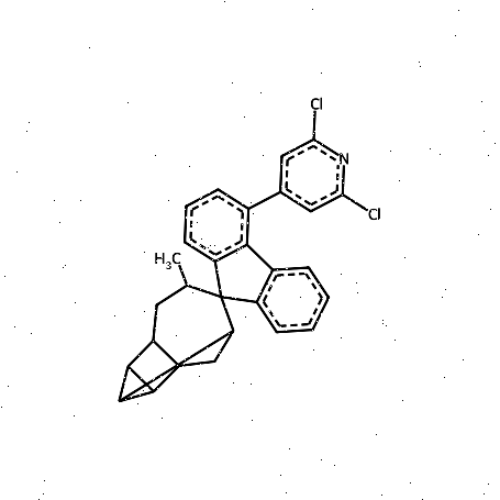 CC1CC2C3CC(C4C2C34)C12c1ccccc1-c1c(-c3cc(Cl)nc(Cl)c3)cccc12